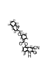 Cc1ccc(OC(=O)c2cccc(OCc3ccc4ccccc4n3)c2)c2cc(C#N)c(=O)[nH]c12